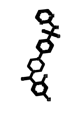 O=C(c1ccc(Cl)cc1Cl)N1CCN(c2ccc(S(=O)(=O)Nc3ncccn3)cc2)CC1